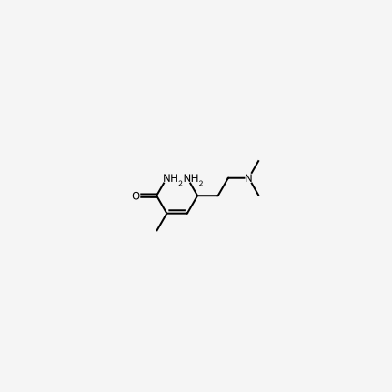 CC(=CC(N)CCN(C)C)C(N)=O